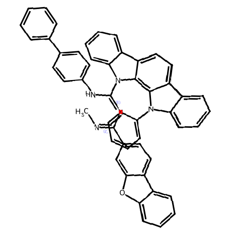 C/N=C(\N=C(/Nc1ccc(-c2ccccc2)cc1)n1c2ccccc2c2ccc3c4ccccc4n(-c4ccccc4)c3c21)c1ccc2c(c1)oc1ccccc12